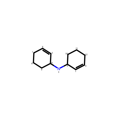 C1=CC([N]C2C=CCCC2)CCC1